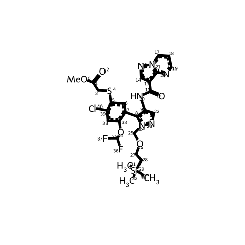 COC(=O)CSc1cc(-c2c(NC(=O)c3cnn4cccnc34)cnn2COCC[Si](C)(C)C)c(OC(F)F)cc1Cl